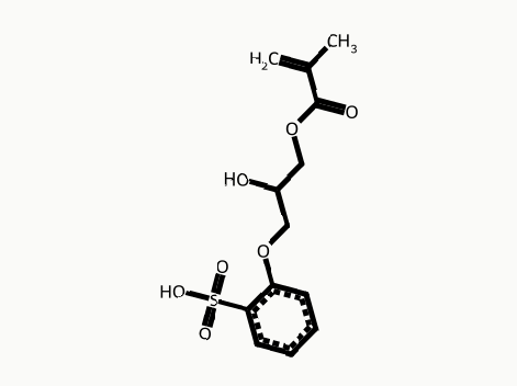 C=C(C)C(=O)OCC(O)COc1ccccc1S(=O)(=O)O